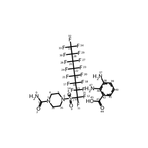 NC(=O)N1CCN(S(=O)(=O)C(F)(F)C(F)(F)C(F)(F)C(F)(F)C(F)(F)C(F)(F)C(F)(F)C(F)(F)F)CC1.Nc1cccc(C(=O)O)c1N